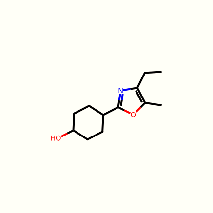 CCc1nc(C2CCC(O)CC2)oc1C